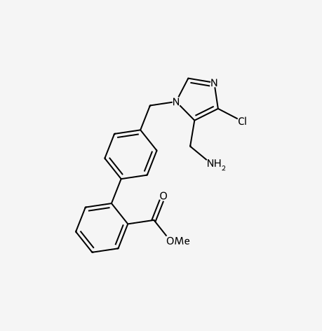 COC(=O)c1ccccc1-c1ccc(Cn2cnc(Cl)c2CN)cc1